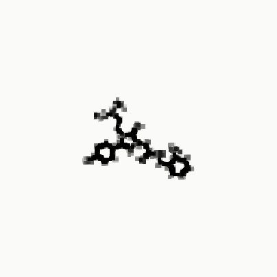 CN(C)CCn1c(-c2ccc(Cl)cc2)nn(CC(=O)NCc2ccccc2C(F)(F)F)c1=O